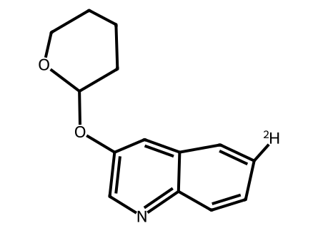 [2H]c1ccc2ncc(OC3CCCCO3)cc2c1